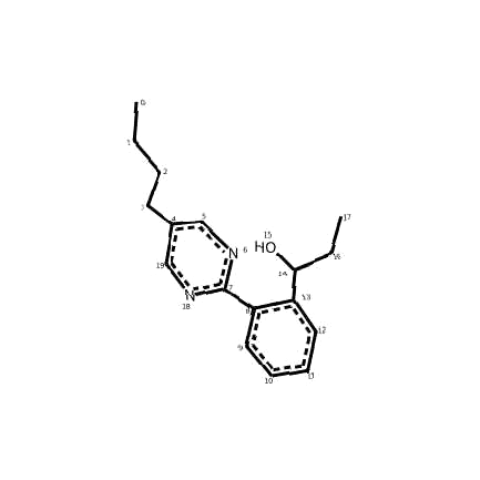 CCCCc1cnc(-c2ccccc2C(O)CC)nc1